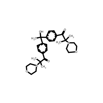 CC(O)(c1ccc(C(=O)C(C)(C)N2CCOCC2)cc1)c1ccc(C(=O)C(C)(C)N2CCOCC2)cc1